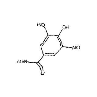 CNC(=O)c1cc(O)c(O)c(N=O)c1